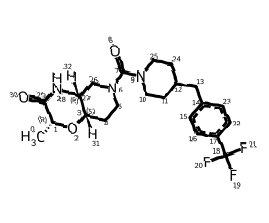 C[C@H]1O[C@H]2CCN(C(=O)N3CCC(Cc4ccc(C(F)(F)F)cc4)CC3)C[C@H]2NC1=O